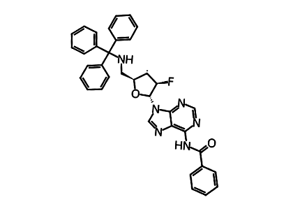 O=C(Nc1ncnc2c1ncn2[C@@H]1O[C@@H](CNC(c2ccccc2)(c2ccccc2)c2ccccc2)[CH][C@H]1F)c1ccccc1